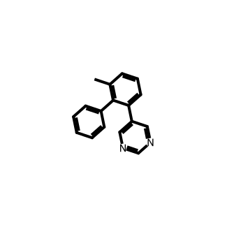 Cc1cccc(-c2cncnc2)c1-c1ccccc1